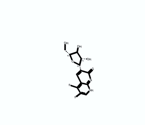 OC[C@H]1O[C@@H](c2cc3c(F)c(F)c[nH]c-3nc2=S)[C@@H](O)C1O